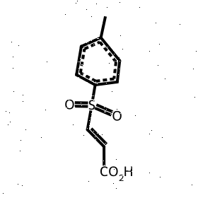 Cc1ccc(S(=O)(=O)/C=C/C(=O)O)cc1